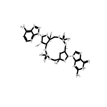 Nc1nc2c(ncn2[C@@H]2O[C@@H]3COP(=O)(S)OC4[C@@H](COP(=O)(S)O[C@H]2C3)O[C@@H](n2nnc3c(N)ccnc32)[C@H]4F)c(=O)[nH]1